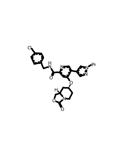 CC(C)n1cc(-c2cnc(C(=O)NCc3ccc(Cl)cc3)cc2O[C@H]2CCN3C(=O)OC[C@@H]3C2)cn1